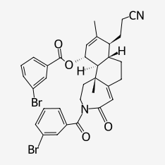 CC1=C[C@@H](OC(=O)c2cccc(Br)c2)[C@H]2[C@@H](CCC3=CC(=O)N(C(=O)c4cccc(Br)c4)CC[C@@]32C)[C@@H]1CCC#N